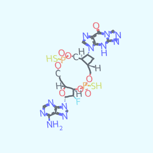 Nc1ncnc2c1ncn2[C@@H]1O[C@@H]2CCOP(=O)(S)OC[C@@H]3[C@@H](COP(=O)(S)O[C@H]2[C@H]1F)C[C@H]3n1cnc2c(=O)n3cnnc3[nH]c21